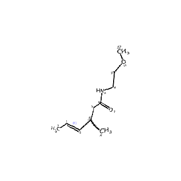 C/C=C/C(C)CC(=O)NCCOC